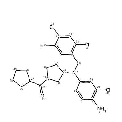 Nc1ccc(N(Cc2cc(F)c(Cl)cc2Cl)[C@H]2CCN(C(=O)C3CCCC3)C2)cc1Cl